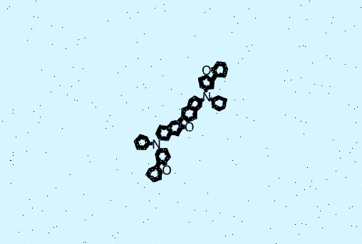 C1=CC(N(c2ccc3cc4c(cc3c2)oc2cc3cc(N(c5ccccc5)c5ccc6oc7ccccc7c6c5)ccc3cc24)c2ccc3oc4ccccc4c3c2)=CCC1